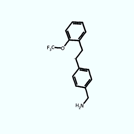 NCc1ccc([CH]Cc2ccccc2OC(F)(F)F)cc1